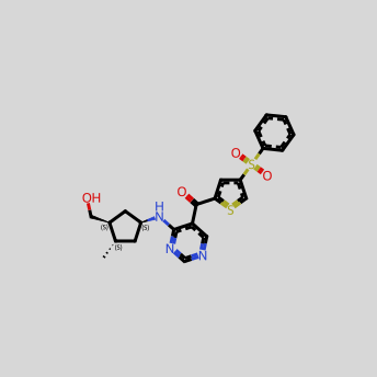 C[C@H]1C[C@H](Nc2ncncc2C(=O)c2cc(S(=O)(=O)c3ccccc3)cs2)C[C@@H]1CO